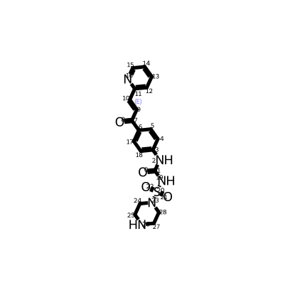 O=C(Nc1ccc(C(=O)/C=C/c2ccccn2)cc1)NS(=O)(=O)N1CCNCC1